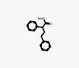 COC(=O)C(CCc1ccccc1)c1ccccc1